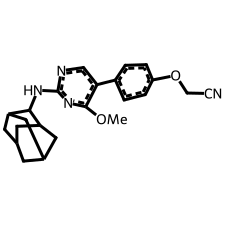 COc1nc(NC2C3CC4CC(C3)CC2C4)ncc1-c1ccc(OCC#N)cc1